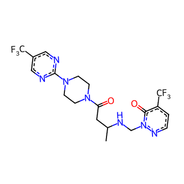 CC(CC(=O)N1CCN(c2ncc(C(F)(F)F)cn2)CC1)NCn1nccc(C(F)(F)F)c1=O